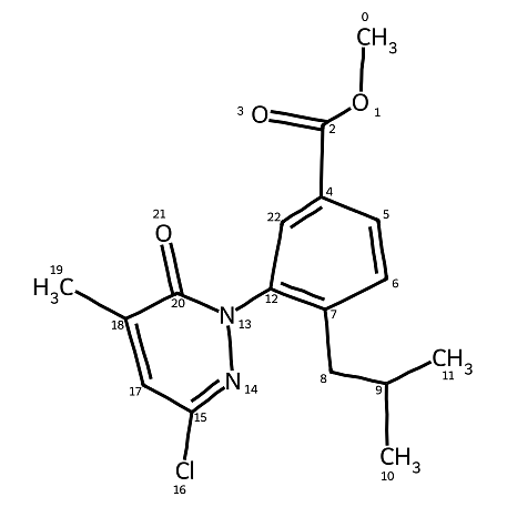 COC(=O)c1ccc(CC(C)C)c(-n2nc(Cl)cc(C)c2=O)c1